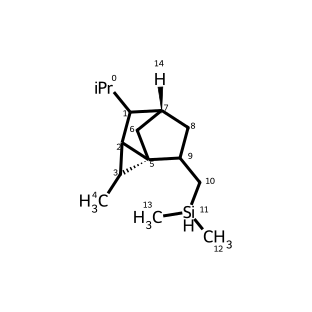 CC(C)C1C2C(C)[C@@]23C[C@H]1CC3C[SiH](C)C